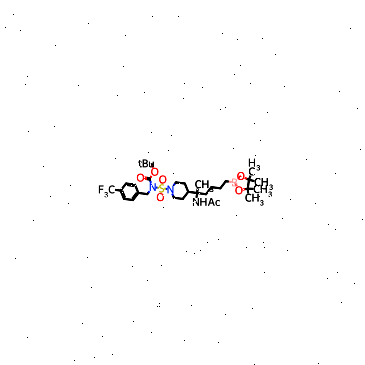 CC(=O)NC(C)(CCCCB1OC(C)(C)C(C)(C)O1)C1CCN(S(=O)(=O)N(Cc2ccc(C(F)(F)F)cc2)C(=O)OC(C)(C)C)CC1